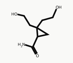 NC(=O)C1CC1(CCO)CCO